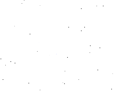 O=C(NCc1cc(C(F)(F)F)cc(C(F)(F)F)c1)c1cnn(-c2cc(Cl)ccc2Cl)c1C(F)(F)F